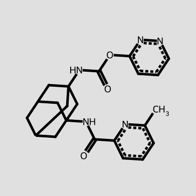 Cc1cccc(C(=O)NC23CC4CC(CC(NC(=O)Oc5cccnn5)(C4)C2)C3)n1